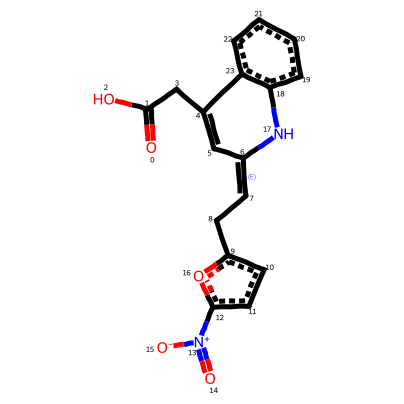 O=C(O)CC1=C/C(=C\Cc2ccc([N+](=O)[O-])o2)Nc2ccccc21